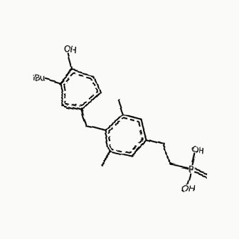 C=P(O)(O)CCc1cc(C)c(Cc2ccc(O)c(C(C)CC)c2)c(C)c1